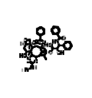 CCCNC(=O)O[C@H]1C(=O)[C@@]2(C)[C@H]([C@H](OC(=O)c3ccccc3)[C@]3(O)C[C@H](OC(=O)[C@H](O)[C@@H](NC(=O)c4ccccc4)c4ccccc4)C(C)=C1C3(C)C)[C@]1(OC(C)=O)CO[C@@H]1C[C@@H]2O